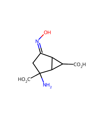 NC1(C(=O)O)CC(=NO)C2C(C(=O)O)C21